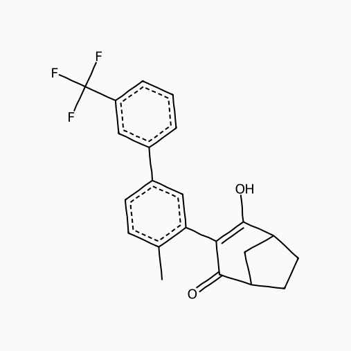 Cc1ccc(-c2cccc(C(F)(F)F)c2)cc1C1=C(O)C2CCC(C2)C1=O